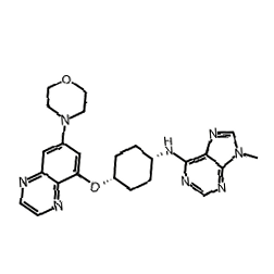 Cn1cnc2c(N[C@H]3CC[C@@H](Oc4cc(N5CCOCC5)cc5nccnc45)CC3)ncnc21